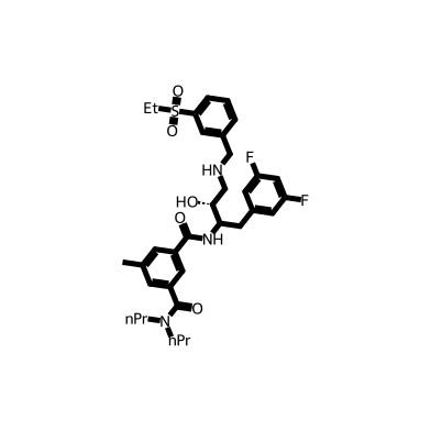 CCCN(CCC)C(=O)c1cc(C)cc(C(=O)NC(Cc2cc(F)cc(F)c2)[C@H](O)CNCc2cccc(S(=O)(=O)CC)c2)c1